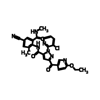 CCOc1ccc(C(=O)c2cc(C(=O)Nc3c(C)cc(C#N)cc3C(=O)NC)n(-c3ncccc3Cl)n2)cn1